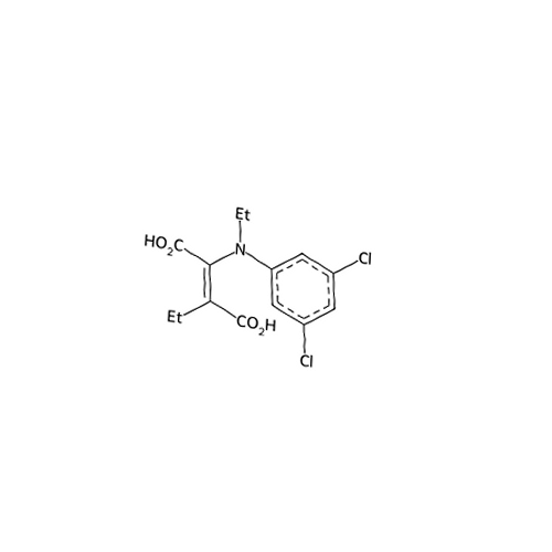 CCC(C(=O)O)=C(C(=O)O)N(CC)c1cc(Cl)cc(Cl)c1